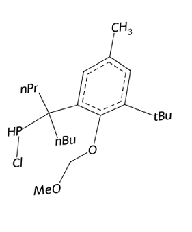 CCCCC(CCC)(PCl)c1cc(C)cc(C(C)(C)C)c1OCOC